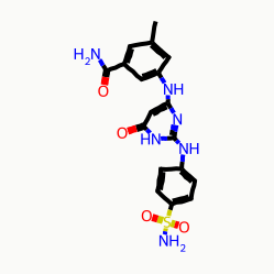 Cc1cc(Nc2cc(=O)[nH]c(Nc3ccc(S(N)(=O)=O)cc3)n2)cc(C(N)=O)c1